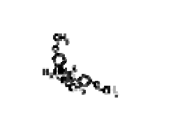 CCBCC.CCOc1ccc(NC(=S)Nc2ccc(OCC)cc2)cc1